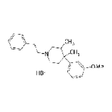 Br.COc1cccc(C2(C)CCN(CCc3ccccc3)CC2C)c1